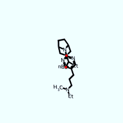 CCCCC(CC)N1CC2CCC(C1)N2c1ncc(CCCN(C)CC)cn1